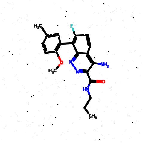 CCCNC(=O)c1nnc2c(-c3cc(C)ccc3OC)c(F)ccc2c1N